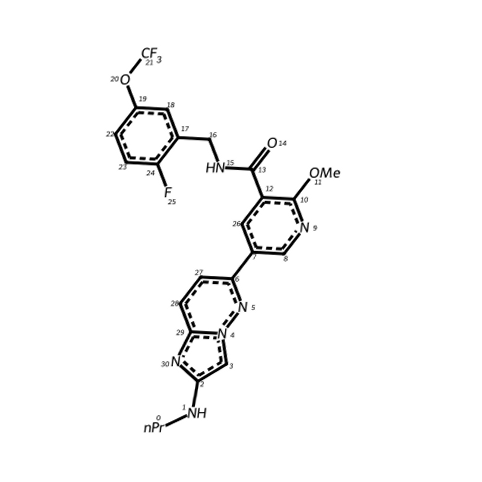 CCCNc1cn2nc(-c3cnc(OC)c(C(=O)NCc4cc(OC(F)(F)F)ccc4F)c3)ccc2n1